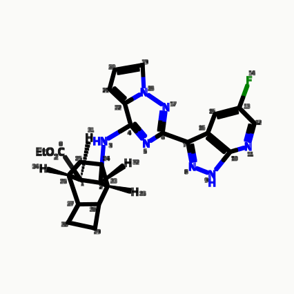 CCOC(=O)[C@H]1[C@H](Nc2nc(-c3n[nH]c4ncc(F)cc34)nn3cccc23)[C@@H]2CC[C@H]1C1CCC12